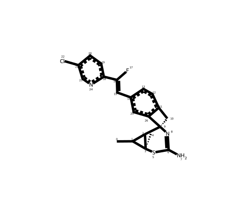 CC1C2[C@@]1(C)SC(N)=N[C@@]21Cc2ccc(/C=C(\F)c3ccc(Cl)cn3)cc21